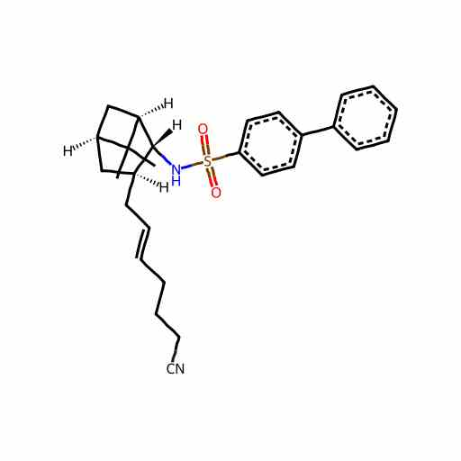 CC1(C)[C@H]2C[C@H](CC=CCCCC#N)[C@@H](NS(=O)(=O)c3ccc(-c4ccccc4)cc3)[C@@H]1C2